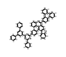 c1ccc(-c2cc(-c3ccccc3)cc(-c3nc(-c4ccccc4)nc(-c4ccc(-c5c6c(cc7c(-c8ccc9c%10ccccc%10c%10ccccc%10c9c8)nc8ccccc8c57)oc5ccccc56)cc4)n3)c2)cc1